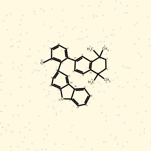 CC1(C)CCC(C)(C)c2cc(-c3cccc(Cl)c3-c3ccc4oc5ccccc5c4c3)ccc21